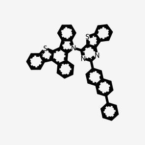 c1ccc(-c2ccc3cc(-c4nc(-n5c6ccccc6c6c7sc8ccccc8c7c7ccccc7c65)c5sc6ccccc6c5n4)ccc3c2)cc1